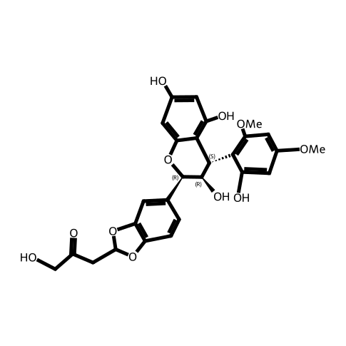 COc1cc(O)c([C@H]2c3c(O)cc(O)cc3O[C@H](c3ccc4c(c3)OC(CC(=O)CO)O4)[C@@H]2O)c(OC)c1